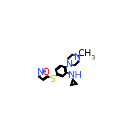 CN1CCN(c2ccc(Sc3ccno3)cc2NC2CC2)CC1